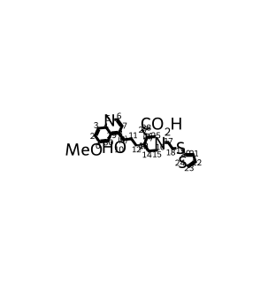 COc1ccc2nccc([C@H](O)CC[C@@H]3CCN(CCSc4cccs4)C[C@@H]3CC(=O)O)c2c1